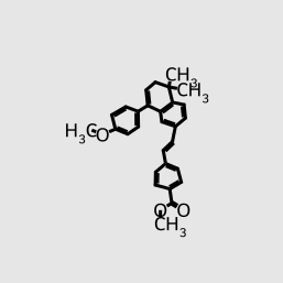 COC(=O)c1ccc(C=Cc2ccc3c(c2)C(c2ccc(OC)cc2)=CCC3(C)C)cc1